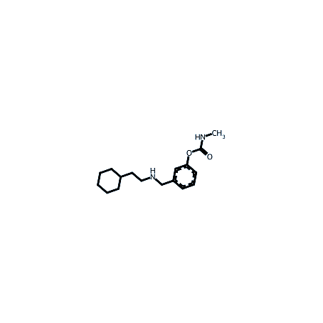 CNC(=O)Oc1cccc(CNCCC2CCCCC2)c1